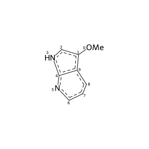 COc1c[nH]c2ncccc12